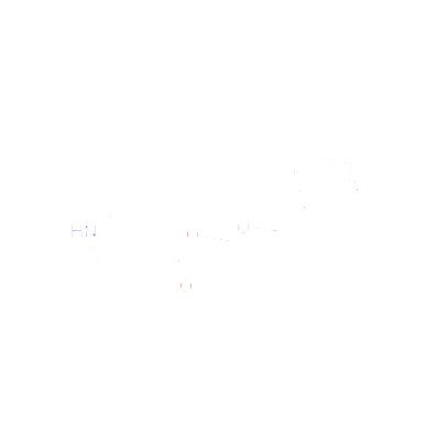 O=C(OCOCc1ccccc1)C1CCNCC1